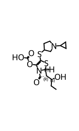 CC[C@H](O)[C@@H]1C(=O)N2C(OC(=O)O)=C(SC3CCN(C4CC4)C3)S[C@H]12